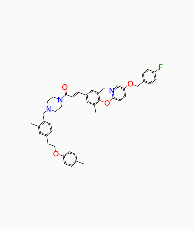 Cc1ccc(OCCc2ccc(CN3CCN(C(=O)C=Cc4cc(C)c(Oc5ccc(OCc6ccc(F)cc6)cn5)c(C)c4)CC3)c(C)c2)cc1